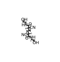 CC(C#N)(/N=N/C(C)(C#N)C(=O)NCCO)C(=O)NCCO